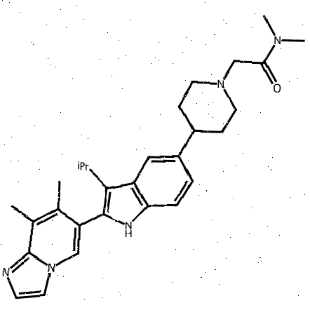 Cc1c(-c2[nH]c3ccc(C4CCN(CC(=O)N(C)C)CC4)cc3c2C(C)C)cn2ccnc2c1C